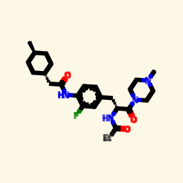 CCC(=O)N[C@H](Cc1ccc(NC(=O)C[C@H]2CC[C@H](C)CC2)c(F)c1)C(=O)N1CCN(C)CC1